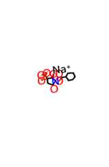 O=C(ON1C(=O)CC(S(=O)(=O)[O-])C1=O)C1CCCCC1.[Na+]